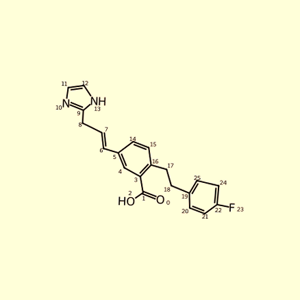 O=C(O)c1cc(C=CCc2ncc[nH]2)ccc1CCc1ccc(F)cc1